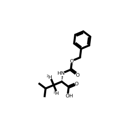 [2H]C([2H])(C(C)C)[C@H](NC(=O)OCc1ccccc1)C(=O)O